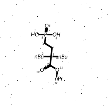 CCCCC(CCCC)(CCP(=O)(O)O)C(=O)OCCC